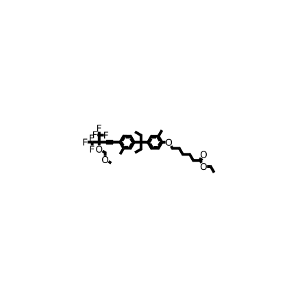 CCOC(=O)CCCCCOc1ccc(C(CC)(CC)c2ccc(C#CC(OCOC)(C(F)(F)F)C(F)(F)F)c(C)c2)cc1C